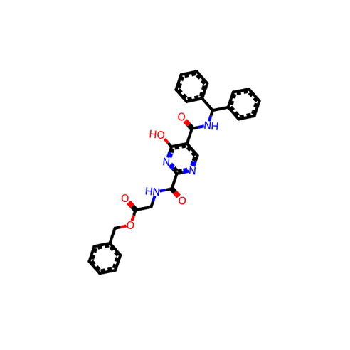 O=C(CNC(=O)c1ncc(C(=O)NC(c2ccccc2)c2ccccc2)c(O)n1)OCc1ccccc1